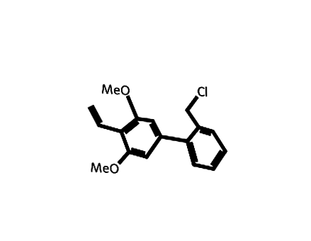 C=Cc1c(OC)cc(-c2ccccc2CCl)cc1OC